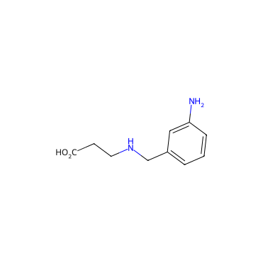 Nc1cccc(CNCCC(=O)O)c1